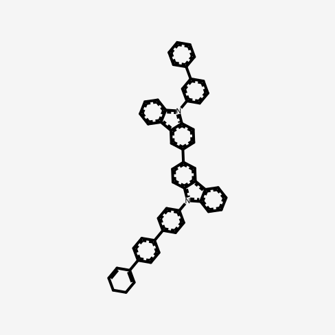 C1=CC(c2ccc(-c3ccc(-n4c5ccccc5c5cc(-c6ccc7c(c6)c6ccccc6n7-c6cccc(-c7ccccc7)c6)ccc54)cc3)cc2)=CCC1